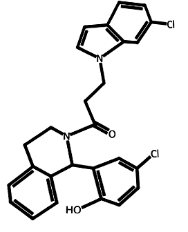 O=C(CCn1ccc2ccc(Cl)cc21)N1CCc2ccccc2C1c1cc(Cl)ccc1O